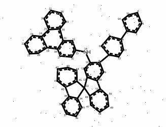 c1ccc(-c2ccc(-c3cc4c(cc3Nc3ccc5c6ccccc6c6ccccc6c5c3)C3(c5ccccc5-c5ccccc53)c3ccccc3-4)cc2)cc1